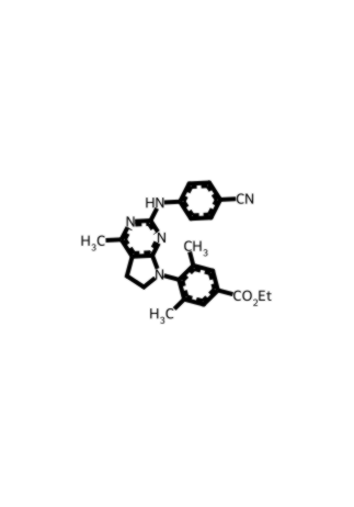 CCOC(=O)c1cc(C)c(N2CCc3c(C)nc(Nc4ccc(C#N)cc4)nc32)c(C)c1